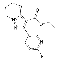 CCOC(=O)c1c(-c2ccc(F)nc2)nn2c1OCCC2